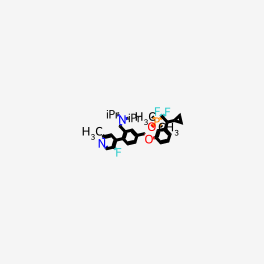 Cc1cc(-c2ccc(COc3cccc(C(C4CC4)C(F)(F)P(C)(C)=O)c3)cc2CN(C(C)C)C(C)C)c(F)cn1